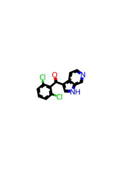 O=C(c1c(Cl)cccc1Cl)c1c[nH]c2cnccc12